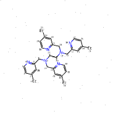 CCc1ccnc(CN(CCN(Cc2cc(CC)ccn2)Cc2cc(CC)ccn2)Cc2cc(CC)ccn2)c1